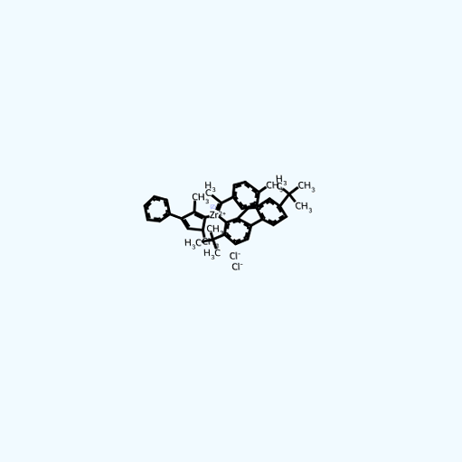 CC1=[C](/[Zr+2](=[C](\C)c2ccc(C)cc2)[c]2c(C(C)(C)C)ccc3c2Cc2cc(C(C)(C)C)ccc2-3)C(C)C=C1c1ccccc1.[Cl-].[Cl-]